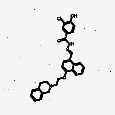 O=C(N/N=C/c1ccc(OCCN2CCc3ccccc3C2)c2ccccc12)c1ccc(O)c(Cl)c1